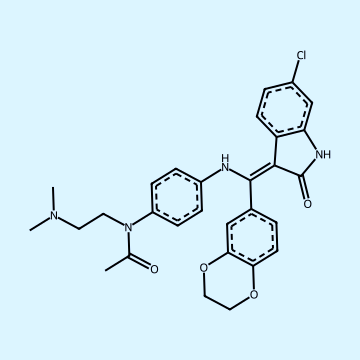 CC(=O)N(CCN(C)C)c1ccc(NC(=C2C(=O)Nc3cc(Cl)ccc32)c2ccc3c(c2)OCCO3)cc1